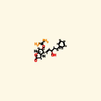 O=C1C[C@@H]2[C@@H](/C=C/[C@H](O)CCc3ccccc3)[C@H](OB(P)P)C[C@@H]2O1